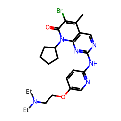 CCN(CC)CCOc1ccc(Nc2ncc3c(C)c(Br)c(=O)n(C4CCCC4)c3n2)nc1